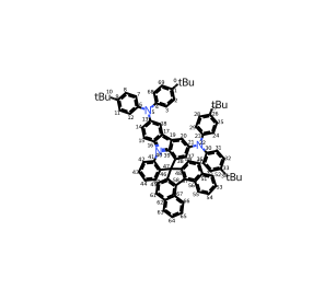 CC(C)(C)c1ccc(N(c2ccc(C(C)(C)C)cc2)c2ccc3c(c2)c2cc(N(c4ccc(C(C)(C)C)cc4)c4ccc(C(C)(C)C)cc4)cc4c2n3-c2ccccc2C42c3ccc4ccccc4c3-c3c2ccc2ccccc32)cc1